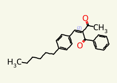 CCCCCCc1ccc(/C=C(/C(C)=O)C(=O)c2ccccc2)cc1